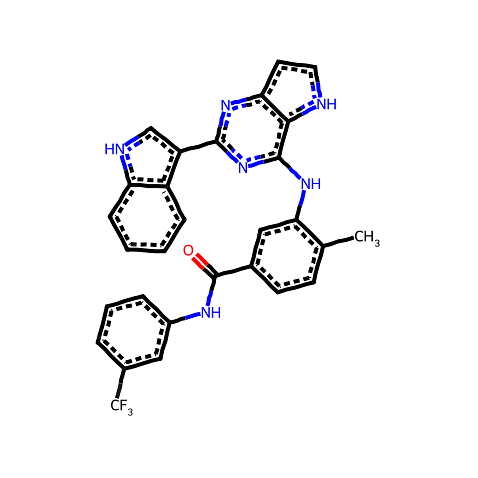 Cc1ccc(C(=O)Nc2cccc(C(F)(F)F)c2)cc1Nc1nc(-c2c[nH]c3ccccc23)nc2cc[nH]c12